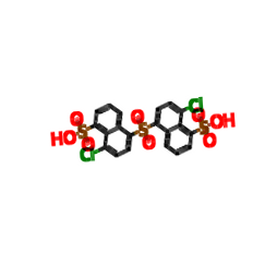 O=S(=O)(O)c1cccc2c(S(=O)(=O)c3ccc(Cl)c4c(S(=O)(=O)O)cccc34)ccc(Cl)c12